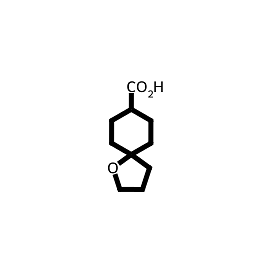 O=C(O)C1CCC2(CCCO2)CC1